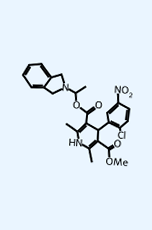 COC(=O)C1=C(C)NC(C)=C(C(=O)OC(C)N2Cc3ccccc3C2)C1c1cc([N+](=O)[O-])ccc1Cl